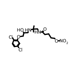 CC(C)(CNC(=O)CCCCO[N+](=O)[O-])NCC(O)COc1cc(Cl)ccc1Cl